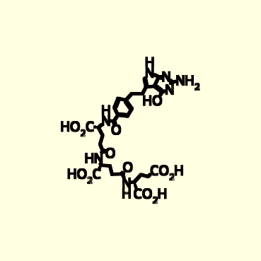 Nc1nc(O)c2c(CCc3ccc(C(=O)N[C@@H](CCC(=O)N[C@@H](CCC(=O)N[C@@H](CCC(=O)O)C(=O)O)C(=O)O)C(=O)O)cc3)c[nH]c2n1